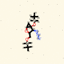 CC(C)(C)[Si](C)(C)OCC1OC2C[C@]2(O[Si](C)(C)C(C)(C)C)C1N=[N+]=[N-]